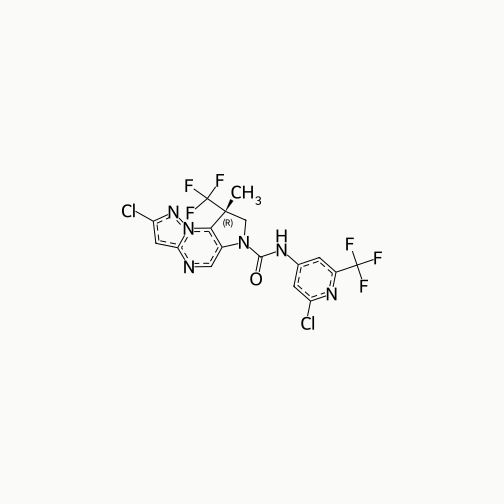 C[C@@]1(C(F)(F)F)CN(C(=O)Nc2cc(Cl)nc(C(F)(F)F)c2)c2cnc3cc(Cl)nn3c21